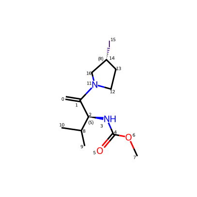 C=C([C@@H](NC(=O)OC)C(C)C)N1CC[C@@H](I)C1